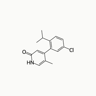 Cc1c[nH]c(=O)cc1-c1cc(Cl)ccc1C(C)C